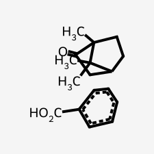 CC12CCC(CC1=O)C2(C)C.O=C(O)c1ccccc1